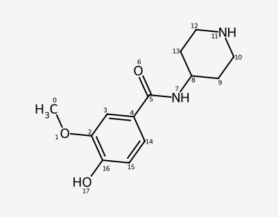 COc1cc(C(=O)NC2CCNCC2)ccc1O